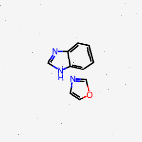 c1ccc2[nH]cnc2c1.c1cocn1